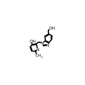 Cc1ccc(O)c(Cn2cnc3ccc(CO)cc32)n1